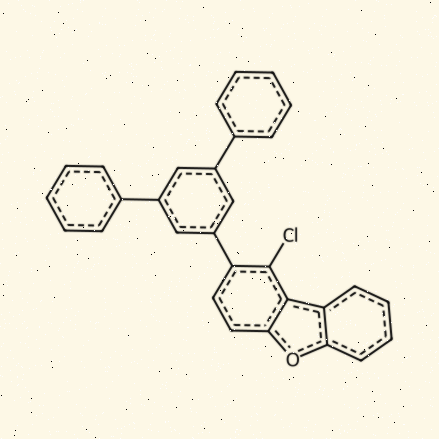 Clc1c(-c2cc(-c3ccccc3)cc(-c3ccccc3)c2)ccc2oc3ccccc3c12